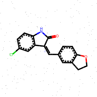 O=C1Nc2ccc(Cl)cc2/C1=C/c1ccc2c(c1)CCO2